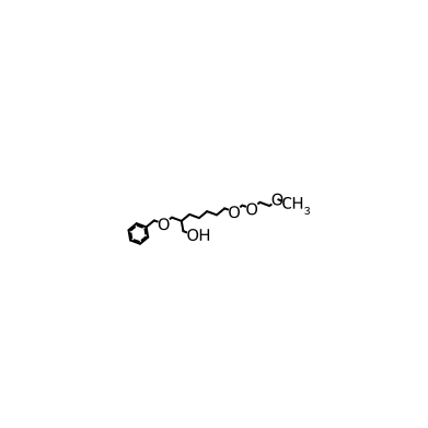 COCCOCOCCCCCC(CO)COCc1ccccc1